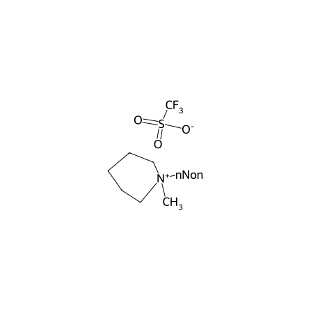 CCCCCCCCC[N+]1(C)CCCCC1.O=S(=O)([O-])C(F)(F)F